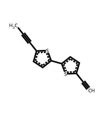 C#Cc1ccc(-c2ccc(C#CC)s2)s1